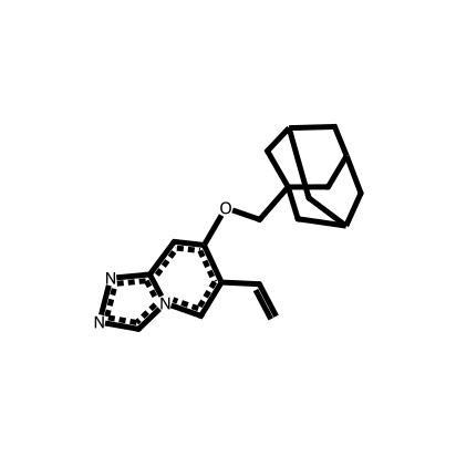 C=Cc1cn2cnnc2cc1OCC12CC3CC(CC(C3)C1)C2